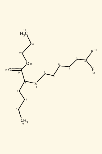 CCCCC(SCCCCCC(F)F)C(=O)OCCC